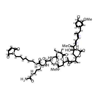 CNC(=O)CC(OC(=O)[C@H](C)N(C)C(=O)N[C@H](C(=O)N[C@@H](CCCNC(N)=O)C(=O)NCCCCCCN1C(=O)C=CC1=O)C(C)C)C1(C)OC1C(C)C1CC(O)(C(/C=C/C=C(\C)Cc2ccc(Cl)c(OC)c2)OC)NC(=O)O1